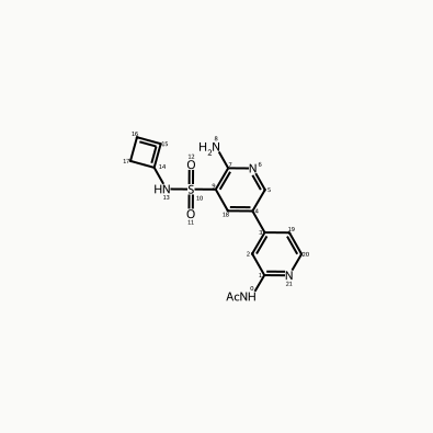 CC(=O)Nc1cc(-c2cnc(N)c(S(=O)(=O)NC3=C=CC3)c2)ccn1